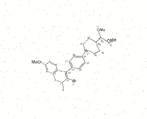 COc1ccc2c(c1)CC(C)C(Br)=C2c1ccc(N2CCC(C(OC)OC)CC2)cc1